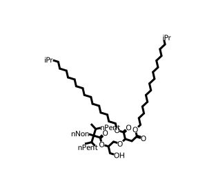 CCCCCCCCCC(C(=O)OC(CO)COC(CC(=O)OCCCCCCCCCCCCCCCC(C)C)C(=O)OCCCCCCCCCCCCCCCC(C)C)(C(C)CCCCC)C(C)CCCCC